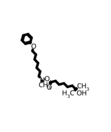 CN(CCCCCCCOc1ccccc1)OC(=O)CCCCCC(C)(C)O